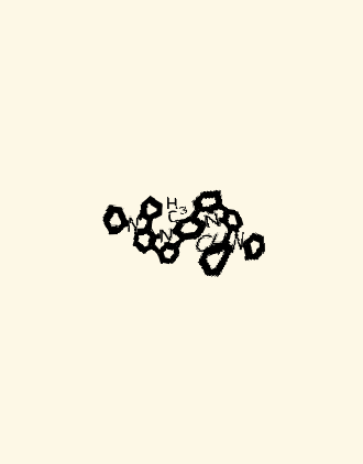 Cc1c2c3cccc4c5ccc6c(c7ccccc7n6-c6ccccc6)c5n(c2c(C)c2c5cccc6c7ccc8c(c9ccccc9n8-c8ccccc8)c7n(c12)c65)c43